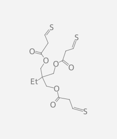 CCC(COC(=O)CC=S)(COC(=O)CC=S)COC(=O)CC=S